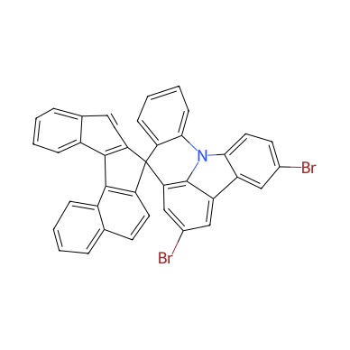 Brc1ccc2c(c1)c1cc(Br)cc3c1n2-c1ccccc1C31c2ccc3ccccc3c2-c2c1ccc1ccccc21